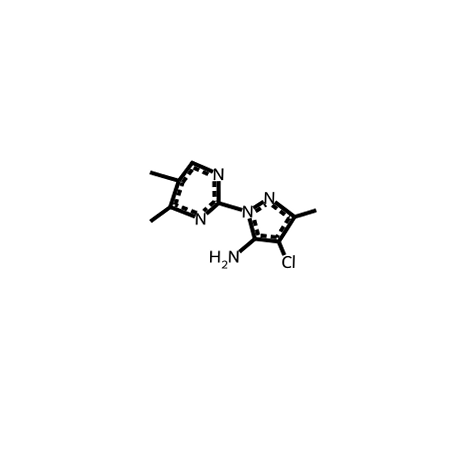 Cc1cnc(-n2nc(C)c(Cl)c2N)nc1C